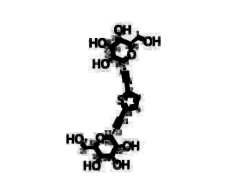 OC[C@H]1O[C@H](C#Cc2ccc(C#C[C@H]3O[C@H](CO)[C@@H](O)[C@H](O)[C@@H]3O)s2)[C@@H](O)[C@@H](O)[C@@H]1O